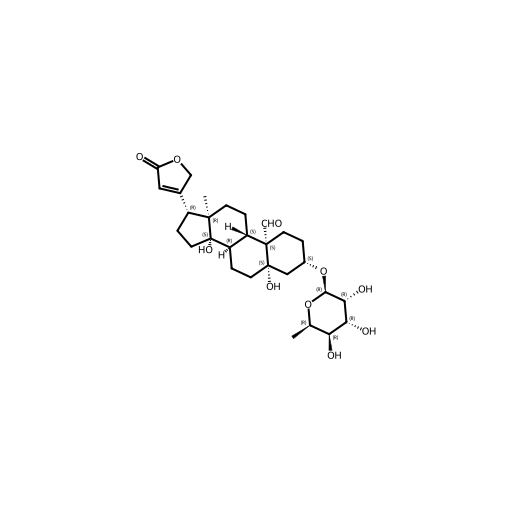 C[C@H]1O[C@@H](O[C@H]2CC[C@]3(C=O)[C@H]4CC[C@]5(C)[C@@H](C6=CC(=O)OC6)CC[C@]5(O)[C@@H]4CC[C@]3(O)C2)[C@H](O)[C@H](O)[C@H]1O